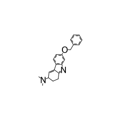 CN(C)C1C=C2C(=Nc3cc(OCc4ccccc4)ccc32)CC1